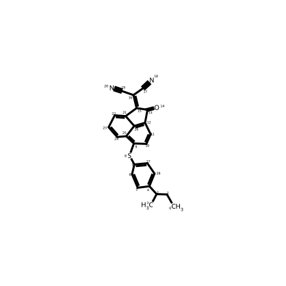 CCC(C)c1ccc(Sc2ccc3c(=O)c(=C(C#N)C#N)c4cccc2c34)cc1